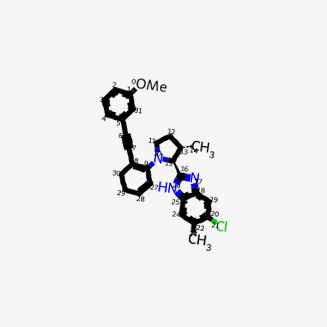 COc1cccc(C#CC2=C(N3CC[C@H](C)[C@H]3c3nc4cc(Cl)c(C)cc4[nH]3)C=CC[CH]2)c1